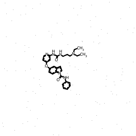 CCN(CC)CCCNC(=O)Nc1cc(Oc2ccc3c(ccn3C(=O)Nc3ccccc3)c2)ccn1